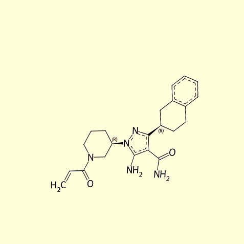 C=CC(=O)N1CCC[C@@H](n2nc([C@@H]3CCc4ccccc4C3)c(C(N)=O)c2N)C1